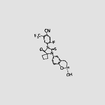 N#Cc1cc(F)c(N2C(=O)C3(CCC3)N(c3ccc4c(c3)CC[C@H](CO)O4)C2=S)cc1C(F)(F)F